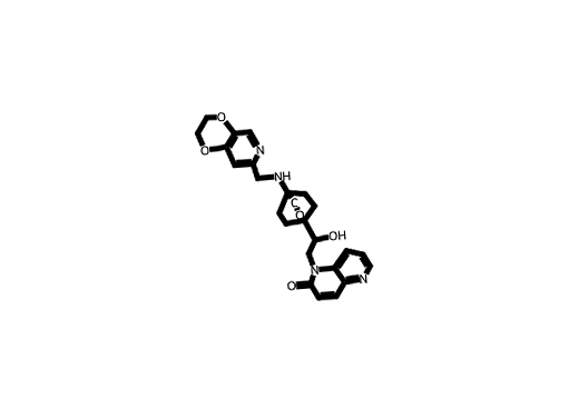 O=c1ccc2ncccc2n1CC(O)C12CCC(NCc3cc4c(cn3)OCCO4)(CC1)CO2